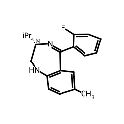 Cc1ccc2c(c1)C(c1ccccc1F)=N[C@@H](C(C)C)CN2